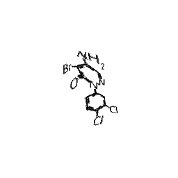 Nc1cnn(-c2ccc(Cl)c(Cl)c2)c(=O)c1Br